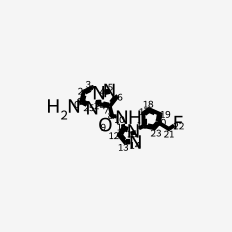 Nc1ccn2ncc(C(=O)Nc3ccnn3-c3cccc(CF)c3)c2n1